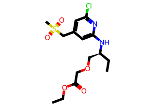 CCOC(=O)COC[C@H](CC)Nc1cc(CS(C)(=O)=O)cc(Cl)n1